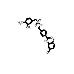 Cc1ccc(CS(=O)(=O)NCc2ccc(C(=O)Nc3cc(Cl)ccc3F)cc2)cc1C